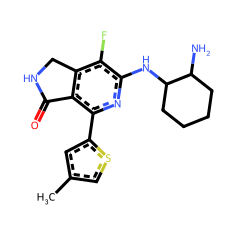 Cc1csc(-c2nc(NC3CCCCC3N)c(F)c3c2C(=O)NC3)c1